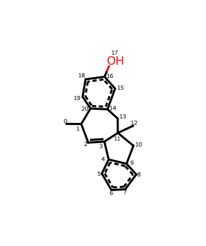 CC1C=C2c3ccccc3CC2(C)Cc2cc(O)ccc21